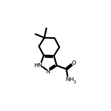 CC1(C)CCc2c(C(N)=O)n[nH]c2C1